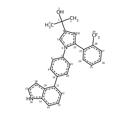 CC(C)(O)c1cn(-c2ccc(-c3cccc4[nH]ccc34)cc2)c(-c2ccccc2C(F)(F)F)n1